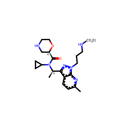 CCOC(=O)NCCCn1nc([C@@H](C)N(C(=O)[C@H]2CNCCO2)C2CC2)c2ccc(C)nc21